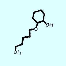 CCCCCCOC1CCCCC1O